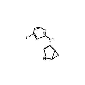 Brc1ccnc(N[C@H]2CNC3CC32)c1